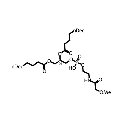 CCCCCCCCCCCCCC(=O)OC[C@H](COP(=O)(O)OCCNC(=O)COC)OC(=O)CCCCCCCCCCCCC